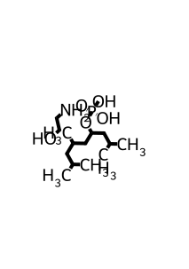 CC(C)CC(C)CC(CC(C)C)OP(=O)(O)O.NCCO